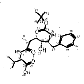 CC(C)[C@@H](NC(=O)[C@H](C)C[C@H](O)[C@H](Cc1ccccc1)NC(=O)OC(C)(C)C)C(=O)O